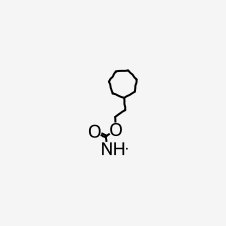 [NH]C(=O)OCCC1CCCCCC1